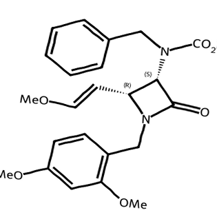 COC=C[C@@H]1[C@H](N(Cc2ccccc2)C(=O)O)C(=O)N1Cc1ccc(OC)cc1OC